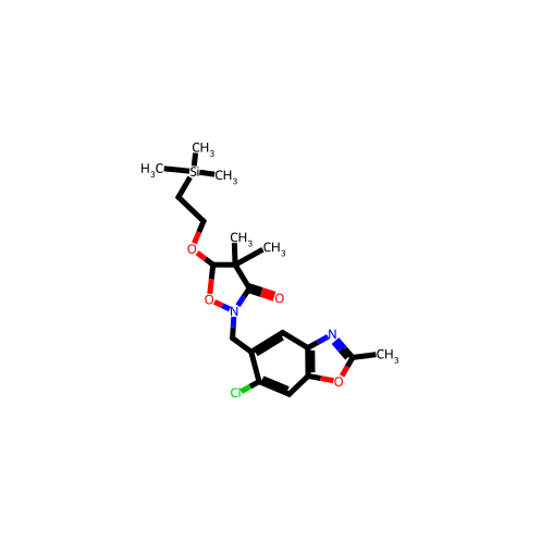 Cc1nc2cc(CN3OC(OCC[Si](C)(C)C)C(C)(C)C3=O)c(Cl)cc2o1